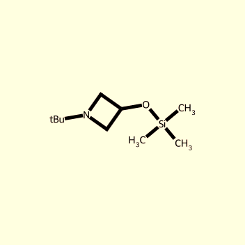 CC(C)(C)N1CC(O[Si](C)(C)C)C1